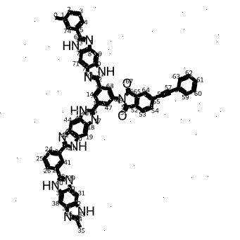 Cc1cccc(-c2nc3cc4[nH]c(-c5cc(-c6nc7cc8[nH]c(-c9cccc(-c%10nc%11cc%12[nH]c(C)nc%12cc%11[nH]%10)c9)nc8cc7[nH]6)cc(N6C(=O)c7ccc(C#Cc8ccccc8)cc7C6=O)c5)nc4cc3[nH]2)c1